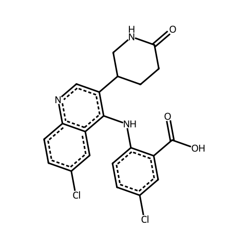 O=C1CCC(c2cnc3ccc(Cl)cc3c2Nc2ccc(Cl)cc2C(=O)O)CN1